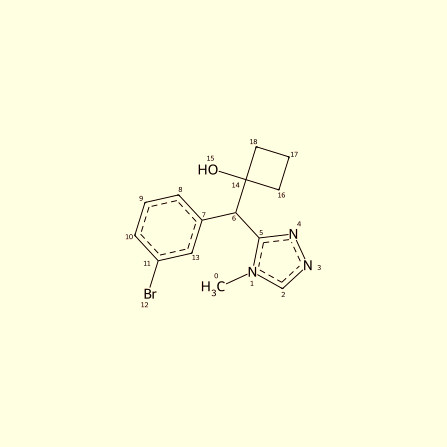 Cn1cnnc1C(c1cccc(Br)c1)C1(O)CCC1